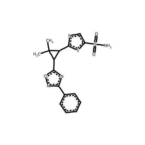 CC1(C)C(c2nc(-c3ccccc3)no2)C1c1ncc(S(N)(=O)=O)s1